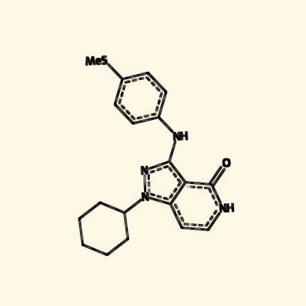 CSc1ccc(Nc2nn(C3CCCCC3)c3cc[nH]c(=O)c23)cc1